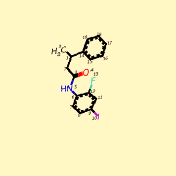 CC(CC(=O)Nc1ccc(I)cc1F)c1ccccc1